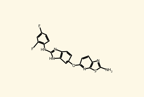 Nc1nc2ccc(Oc3ccc4nc(Nc5ccc(F)cc5F)[nH]c4c3)nc2s1